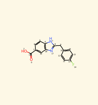 O=C(O)c1ccc2[nH]c(Cc3ccc(F)cc3)nc2c1